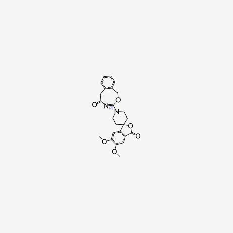 COc1cc2c(cc1OC)C1(CCN(/C3=N/C(=O)Cc4ccccc4CO3)CC1)OC2=O